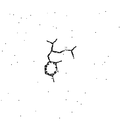 Cc1ccc(CC(CNC(C)C)C(C)C)c(C)n1